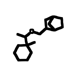 CC(OCC1CC2CCC1C2)C1(C)CCCCC1